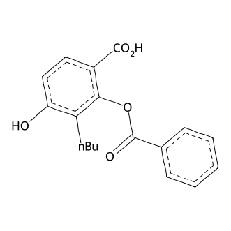 CCCCc1c(O)ccc(C(=O)O)c1OC(=O)c1ccccc1